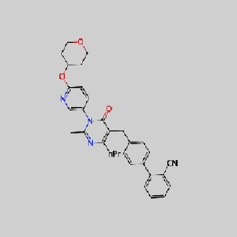 CCCc1nc(C)n(-c2ccc(OC3CCOCC3)nc2)c(=O)c1Cc1ccc(-c2ccccc2C#N)cc1